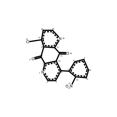 O=C1c2nccc(-c3ccccc3[N+](=O)[O-])c2C(=O)c2nccc(Cl)c21